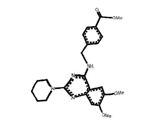 COC(=O)c1ccc(CNc2nc(N3CCCCC3)nc3cc(OC)c(OC)cc23)cc1